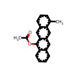 CC(=O)Oc1c2ccccc2cc2cc3c(C)cccc3cc12